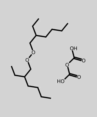 CCCCC(CC)COOCC(CC)CCCC.O=C(O)OC(=O)O